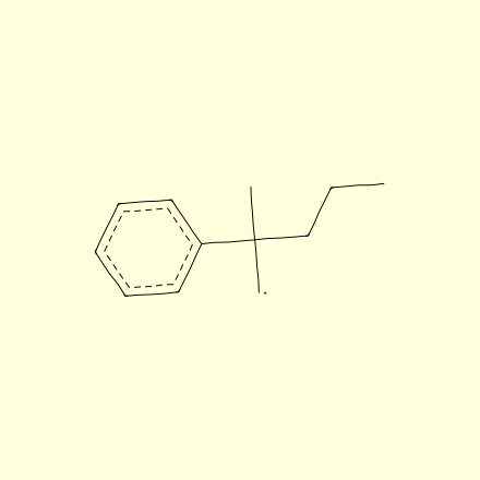 [CH2]C(C)(CCC)c1ccccc1